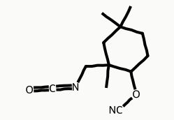 CC1(C)CCC(OC#N)C(C)(CN=C=O)C1